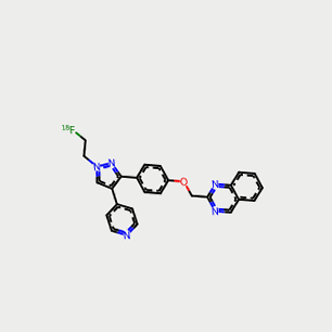 [18F]CCn1cc(-c2ccncc2)c(-c2ccc(OCc3ncc4ccccc4n3)cc2)n1